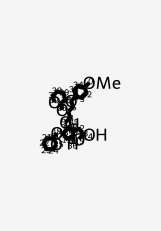 COc1ccc(OCC(CO[C@H]2[C@@H]3CC(O)O[C@@H]3C[C@@H]2OC2CCCCO2)OC2CCCCO2)cc1